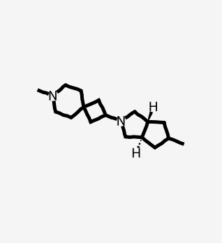 CC1C[C@H]2CN(C3CC4(CCN(C)CC4)C3)C[C@@H]2C1